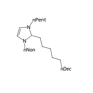 CCCCCCCCCCCCCCCC1N(CCCCC)C=CN1CCCCCCCCC